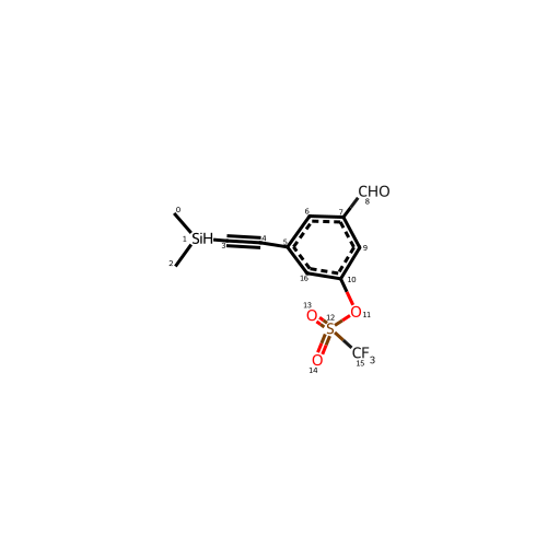 C[SiH](C)C#Cc1cc(C=O)cc(OS(=O)(=O)C(F)(F)F)c1